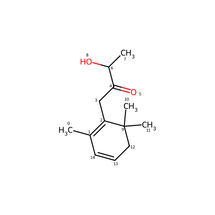 CC1=C(CC(=O)C(C)O)C(C)(C)CC=C1